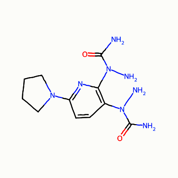 NC(=O)N(N)c1ccc(N2CCCC2)nc1N(N)C(N)=O